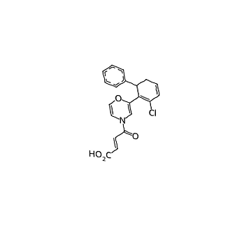 O=C(O)/C=C/C(=O)N1C=COC(C2=C(Cl)C=CCC2c2ccccc2)=C1